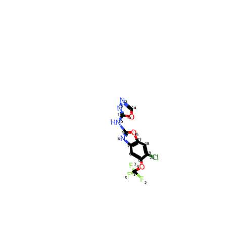 FC(F)(F)Oc1cc2nc(Nc3nnco3)oc2cc1Cl